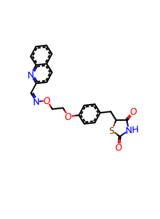 O=C1NC(=O)C(Cc2ccc(OCCO/N=C\c3ccc4ccccc4n3)cc2)S1